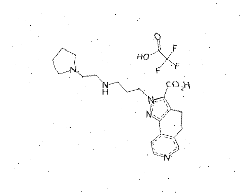 O=C(O)C(F)(F)F.O=C(O)c1c2c(nn1CCCNCCN1CCCC1)-c1ccncc1CC2